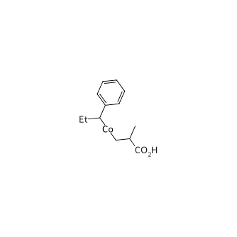 CC[CH]([Co][CH2]C(C)C(=O)O)c1ccccc1